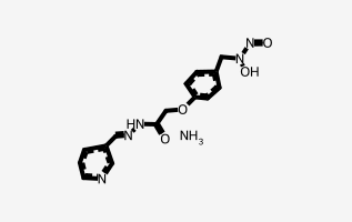 N.O=NN(O)Cc1ccc(OCC(=O)N/N=C/c2cccnc2)cc1